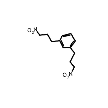 O=[N+]([O-])CCCc1cccc(CCC[N+](=O)[O-])c1